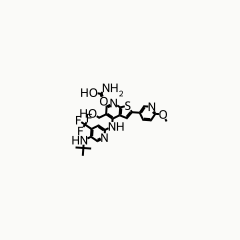 COc1ccc(-c2cc3c(Nc4cc(C(F)(F)F)c(NC(C)(C)C)cn4)c(CO)cnc3s2)cn1.NC(=O)O